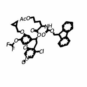 CC(=O)OCCCC(NC(=O)OCC1c2ccccc2-c2ccccc21)C(=O)OC(Cc1c(Cl)c[n+]([O-])cc1Cl)c1ccc(OC(F)F)c(OCC2CC2)c1